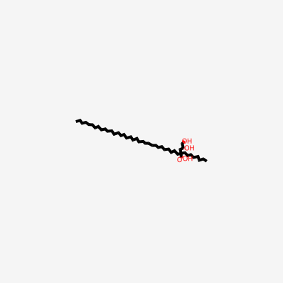 CCCCCCCCCCCCCCCCCCCCCCCCCCCCCCCCCC(CCCCCCCC)(CC(O)CO)C(=O)O